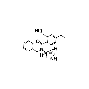 CCc1cc(C)c2c(c1)[C@@H]1CNC[C@H]1N(Cc1ccccc1)C2=O.Cl